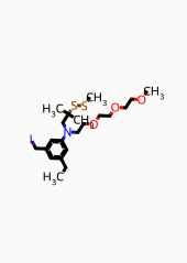 CCc1cc(CI)cc(N(CCOCCOCCOC)CC(C)(C)SSC)c1